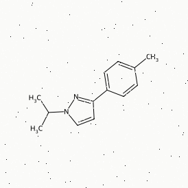 Cc1ccc(-c2ccn(C(C)C)n2)cc1